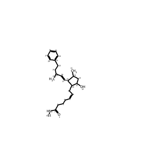 CCNC(=O)CCC/C=C\CC1C(O)CC(C)[C@@H]1/C=C/C(C)CCc1ccccc1